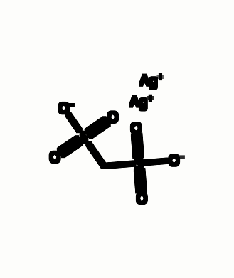 O=S(=O)([O-])CS(=O)(=O)[O-].[Ag+].[Ag+]